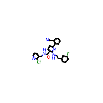 N#Cc1ccccc1-c1ccc(C(=O)NCc2cccnc2Cl)c(NCCc2cccc(F)c2)n1